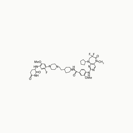 COc1cc(C(=O)NN2CCC(CCN3CCN(c4cc(OC)c(NC5CCC(=O)NC5=O)cc4F)CC3)CC2)ccc1Nc1ncc2c(n1)N(C1CCCC1)CC(F)(F)C(=O)N2C